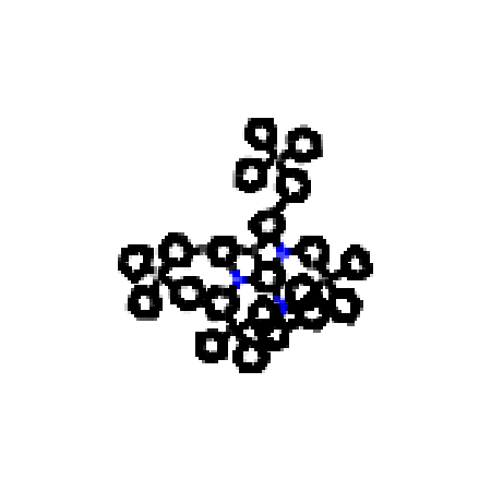 c1ccc([Si](c2ccccc2)(c2ccccc2)c2cccc(-c3ccc4c(c3)N(c3cccc([Si](c5ccccc5)(c5ccccc5)c5ccccc5)c3)c3cc(-n5c6ccccc6c6ccccc65)cc5c3B4c3ccc(-c4cccc([Si](c6ccccc6)(c6ccccc6)c6ccccc6)c4)cc3N5c3cccc([Si](c4ccccc4)(c4ccccc4)c4ccccc4)c3)c2)cc1